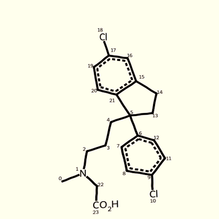 CN(CCCC1(c2ccc(Cl)cc2)CCc2cc(Cl)ccc21)CC(=O)O